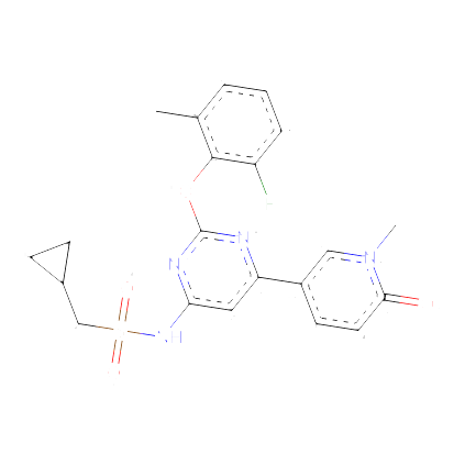 Cc1cccc(F)c1Oc1nc(NS(=O)(=O)CC2CC2)cc(-c2ccc(=O)n(C)c2)n1